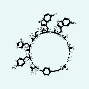 NC(=O)[C@@H]1Cc2ccc(cc2)CNC(=O)CCCCC(=O)NCC(=O)N[C@@H](Cc2c[nH]c3ccc(F)cc23)C(=O)N[C@@H](Cc2c[nH]c3ccc(F)cc23)C(=O)N[C@@H](CC(=O)O)C(=O)N[C@@H](Cc2cnc[nH]2)C(=O)N[C@@H](Cc2ccc(O)cc2)CN1